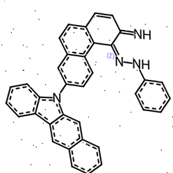 N=C1C=Cc2ccc3cc(-n4c5ccccc5c5cc6ccccc6cc54)ccc3c2/C1=N/Nc1ccccc1